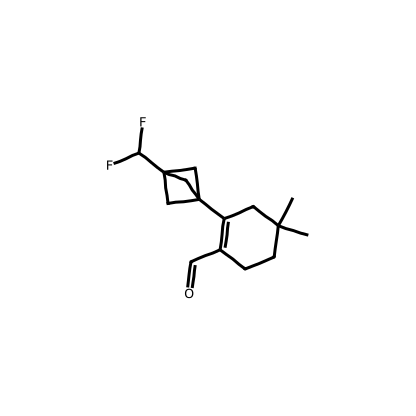 CC1(C)CCC(C=O)=C(C23CC(C(F)F)(C2)C3)C1